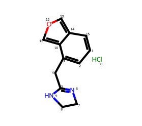 Cl.c1cc(CC2=NCCN2)c2cocc2c1